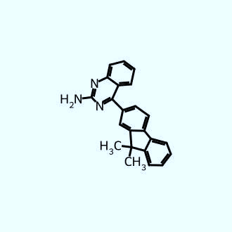 CC1(C)c2ccccc2-c2ccc(-c3nc(N)nc4ccccc34)cc21